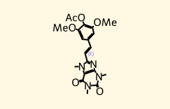 COc1cc(/C=C/c2nc3c(c(=O)n(C)c(=O)n3C)n2C)cc(OC)c1OC(C)=O